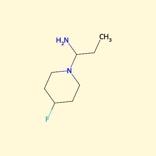 CCC(N)N1CCC(F)CC1